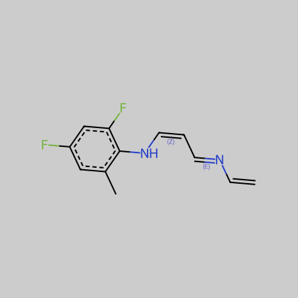 C=C/N=C/C=C\Nc1c(C)cc(F)cc1F